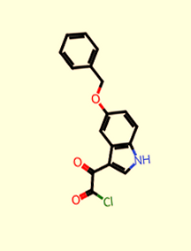 O=C(Cl)C(=O)c1c[nH]c2ccc(OCc3ccccc3)cc12